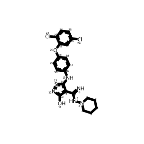 N=C(NN1CCCCC1)c1c(O)nsc1Nc1ccc(Oc2cc(Cl)ccc2Cl)cc1